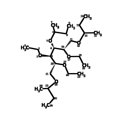 CCO[C@@H]([C@H](OC(C)CC)[C@H](COC(C)CC)OCC)[C@@H](COC(C)CC)OCC